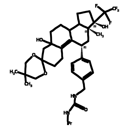 CC(C)NC(=O)NCc1ccc([C@H]2C[C@@]3(C)C(CC[C@@]3(O)C(F)(F)C(F)(F)F)C3CCC4(O)CC5(CCC4=C32)OCC(C)(C)CO5)cc1